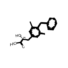 Cc1cc(C[C@@H](O)C(=O)O)cc(C)c1Cc1ccccc1